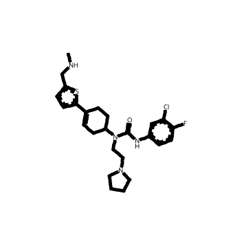 CNCc1ccc(C2=CCC(N(CCN3CCCC3)C(=O)Nc3ccc(F)c(Cl)c3)CC2)s1